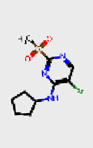 CS(=O)(=O)c1ncc(Br)c(NC2CCCC2)n1